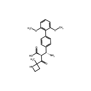 COc1cccc(OC)c1-c1ccc([C@H](N)[C@H](C(=O)O)C(=O)C2(C)CCN2)cc1